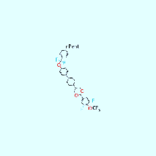 CCCCCc1ccc(C(F)(F)Oc2ccc(C3CCC(C4COC(c5cc(F)c(OC(F)(F)F)c(F)c5)OC4)CC3)cc2)cc1